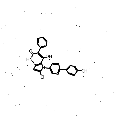 Cc1ccc(-c2ccc(-n3c(Cl)cc4[nH]c(=O)c(-c5ccccc5)c(O)c43)cc2)cc1